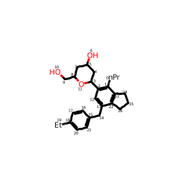 CCCc1c(C2CC(O)CC(CO)O2)cc(Cc2ccc(CC)cc2)c2c1CCC2